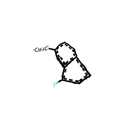 O=[C]c1ccc2cccc(F)c2c1